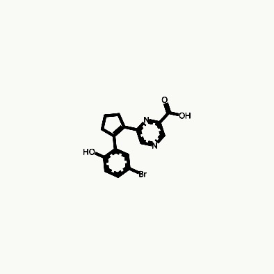 O=C(O)c1cncc(C2=C(c3cc(Br)ccc3O)CCC2)n1